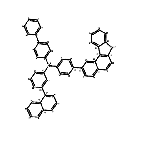 c1ccc(-c2ccc(N(c3ccc(-c4ccc5ccc6oc7ccccc7c6c5c4)cc3)c3cccc(-c4cccc5ccccc45)c3)cc2)cc1